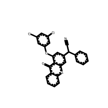 N#CC(c1ccccc1)c1cc(Oc2cc(Cl)cc(Cl)c2)c2c(=O)c3ccccc3sc2c1